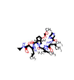 CCCC(NC(=O)C1[C@H]2CC[C@@H](OCOC)[C@H]2CN1C(=O)[C@@H](NC(=O)[C@H](NC(=O)c1cnccn1)C(C)C)C(C)C)C(O)C(=O)NC1CC1